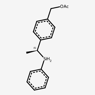 CC(=O)OCc1ccc([C@H](C)[SiH2]c2ccccc2)cc1